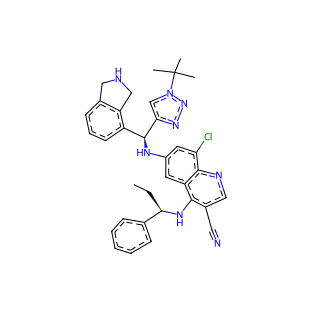 CC[C@@H](Nc1c(C#N)cnc2c(Cl)cc(N[C@H](c3cn(C(C)(C)C)nn3)c3cccc4c3CNC4)cc12)c1ccccc1